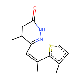 CC(=CC1=NNC(=O)CC1C)c1sccc1C